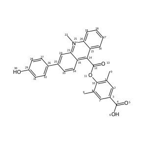 Cc1cc(C(=O)O)cc(C)c1OC(=O)c1c2ccccc2[n+](C)c2cc(-c3ccc(O)cc3)ccc12